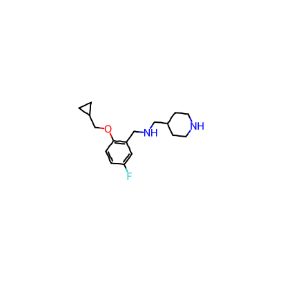 Fc1ccc(OCC2CC2)c(CNCC2CCNCC2)c1